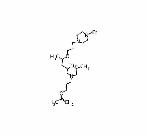 C=C(C)OCCCN1CC(CC(C)OCCCN2CCN(C(C)C)CC2)O[C@@H](C)C1